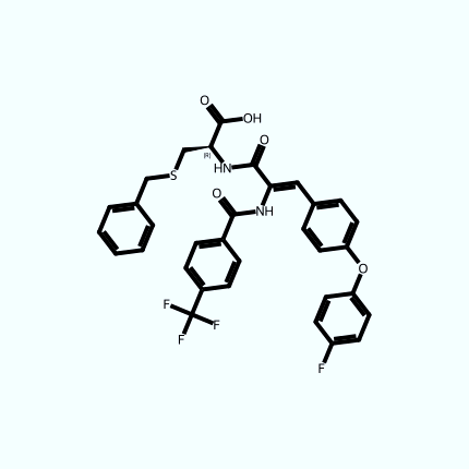 O=C(N[C@@H](CSCc1ccccc1)C(=O)O)C(=Cc1ccc(Oc2ccc(F)cc2)cc1)NC(=O)c1ccc(C(F)(F)F)cc1